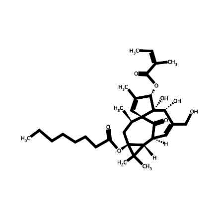 C/C=C(/C)C(=O)O[C@H]1C(C)=C[C@]23C(=O)[C@@H](C=C(CO)[C@@H](O)[C@]12O)[C@@H]1C(C)(C)[C@]1(OC(=O)CCCCCCC)C[C@H]3C